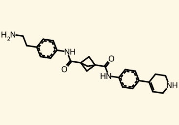 NCCc1ccc(NC(=O)C23CC(C(=O)Nc4ccc(C5=CCNCC5)cc4)(C2)C3)cc1